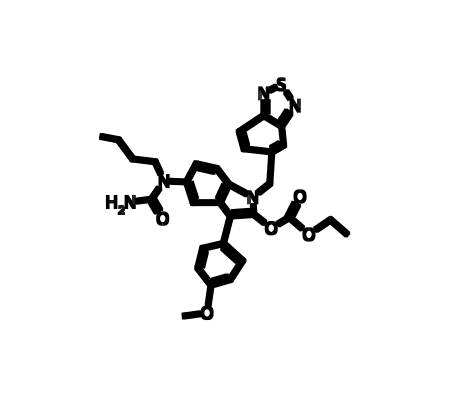 CCCCN(C(N)=O)c1ccc2c(c1)c(-c1ccc(OC)cc1)c(OC(=O)OCC)n2Cc1ccc2nsnc2c1